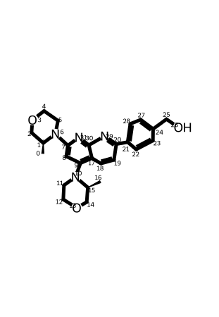 C[C@H]1COCCN1c1cc(N2CCOC[C@@H]2C)c2ccc(-c3ccc(CO)cc3)nc2n1